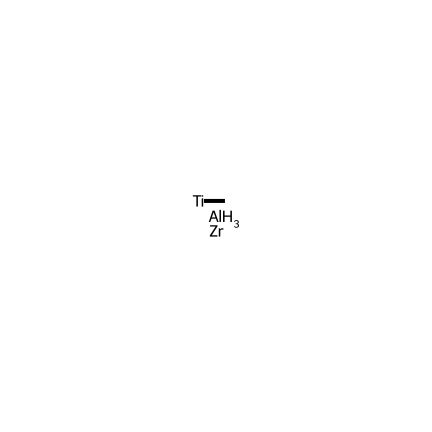 [AlH3].[CH3][Ti].[Zr]